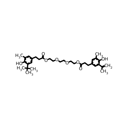 C=C(C)c1cc(CCC(=O)OCCOCCOCCOC(=O)CCc2cc(C)c(O)c(C(C)(C)C)c2)cc(C)c1O